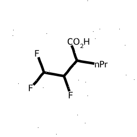 CCCC(C(=O)O)C(F)C(F)F